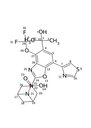 CC(C)(O)c1cc(-c2cscn2)c2oc(N3CC4CC(C3)N4C(=O)O)nc2c1OC(F)(F)F